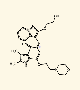 Cc1[nH]c2c(c1C)C(=N)/C(=N\c1c(OCCO)nn3ccccc13)C=C2OCCN1CCOCC1